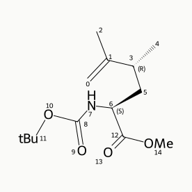 C=C(C)[C@H](C)C[C@H](NC(=O)OC(C)(C)C)C(=O)OC